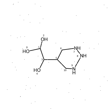 OC(O)C(O)C1CNNNC1